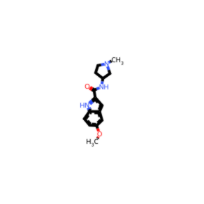 COc1ccc2[nH]c(C(=O)NC3CCN(C)C3)cc2c1